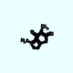 Cn1c(Cl)nc2ccn(C)c2c1=O